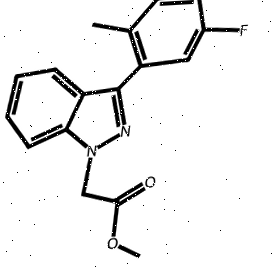 COC(=O)Cn1nc(-c2cc(F)ccc2C)c2ccccc21